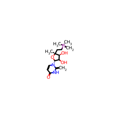 C=C1NC(=O)C=CN1[C@@H]1O[C@](C)(CCP(=C)(C)C)[C@@H](O)C1O